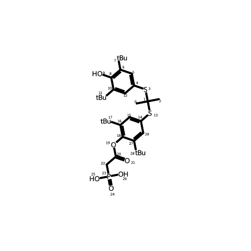 CC(C)(Sc1cc(C(C)(C)C)c(O)c(C(C)(C)C)c1)Sc1cc(C(C)(C)C)c(OC(=O)CP(=O)(O)O)c(C(C)(C)C)c1